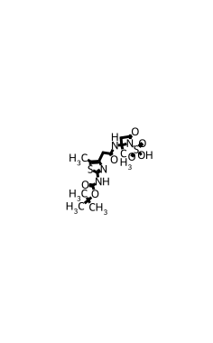 Cc1sc(NC(=O)OC(C)(C)C)nc1CC(=O)NC1(C)CC(=O)N1S(=O)(=O)O